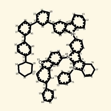 C1=Cc2c(c3c4ccc(-n5c6ccccc6c6cc(-c7cccc(-c8cccc(-c9ccc(C%10CCCCC%10)cc9)c8)c7)ccc65)cc4n(-c4ccc5oc6ccc(-c7ccccc7)cc6c5c4)c3n2-c2ccccc2)CC1